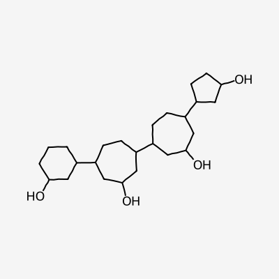 OC1CCCC(C2CCC(C3CCC(C4CCC(O)C4)CC(O)C3)CC(O)C2)C1